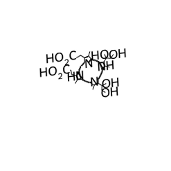 CC1=C(CCC(=O)O)c2cc3[nH]c(cc4nc(cc5[nH]c(cc1n2)c(C(O)CO)c5C)C(C(O)CO)=C4C)c(C)c3CCC(=O)O